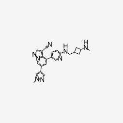 CNC1CC(CNc2ccc(-c3cc(-c4cnn(C)c4)cn4ncc(C#N)c34)cn2)C1